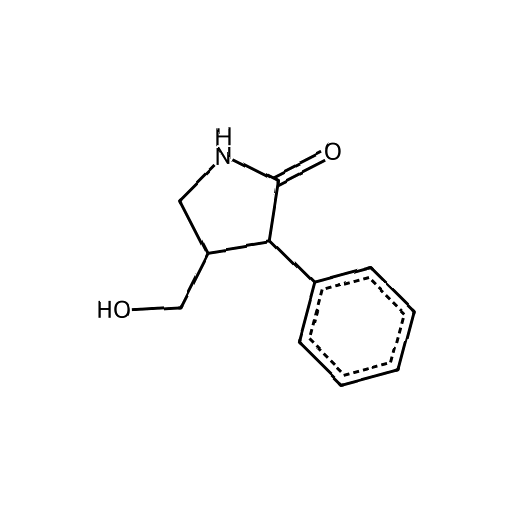 O=C1NCC(CO)C1c1ccccc1